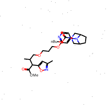 CCCCOC(=O)N1CC2CCC(C1)N2c1ccnc(OCCCOCC(C)C(C(=O)OC)c2cc(C)no2)c1